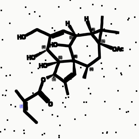 C/C=C(/C)C(=O)O[C@H]1C(C)=C[C@]23C(O)[C@@H](C=C(CO)[C@@H](O)[C@]12O)[C@@H]1C(C)(C)[C@]1(OC(C)=O)C[C@H]3C